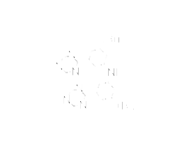 CC(C)(C)c1cc(Nc2cc(-c3ncncn3)cc(C(C)(C)C)c2)cc(-c2ncncn2)c1